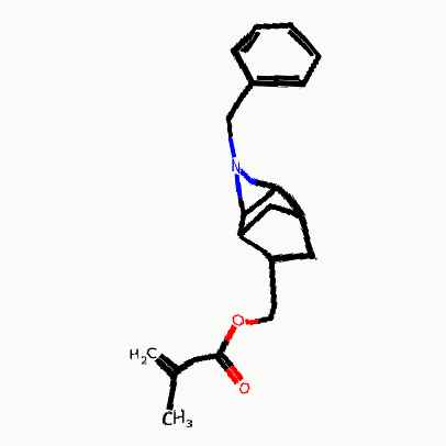 C=C(C)C(=O)OCC1CC2CC1C1C2N1Cc1ccccc1